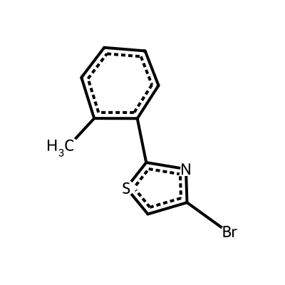 Cc1ccccc1-c1nc(Br)cs1